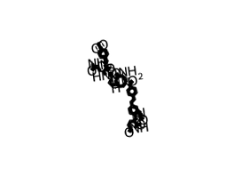 Cn1c(=O)n(C2CCC(=O)NC2=O)c2ccc(CCC3CCC(C(=O)N4CC[C@H]5CC[C@@H](C(=O)N[C@@H](CCC(N)=O)C(=O)NCc6ccc(S(C)(=O)=O)cc6)N5C(=O)[C@@H](N)C4)CC3)cc21